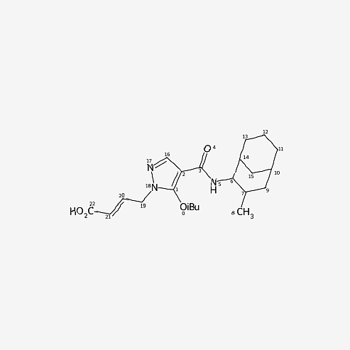 CC(C)COc1c(C(=O)NC2C(C)CC3CCCC2C3)cnn1C/C=C/C(=O)O